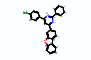 Brc1ccc(-c2cc(-c3ccc4c(c3)oc3ccccc34)nc(C3=CCCC=C3)n2)cc1